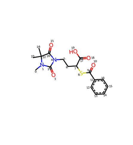 CN1C(=O)N(CCC(SC(=O)c2ccccc2)C(=O)O)C(=O)C1(C)C